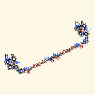 Cc1ccc(NC(=O)c2ccc(CN3CCN(CCC(=O)NCCCOCCOCCOCCCNC(=O)CCCC(=O)NCCCOCCOCCOCCCNC(=O)CCN4CCN(Cc5ccc(C(=O)Nc6ccc(C)c(Nc7nccc(-c8cccnc8)n7)c6)cc5)CC4)CC3)cc2)cc1Nc1nccc(-c2cccnc2)n1